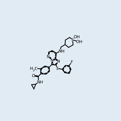 Cc1cc(-c2c(Sc3cccc(F)c3)nc3c(NCC4CCS(O)(O)CC4)ccnn23)ccc1C(=O)NC1CC1